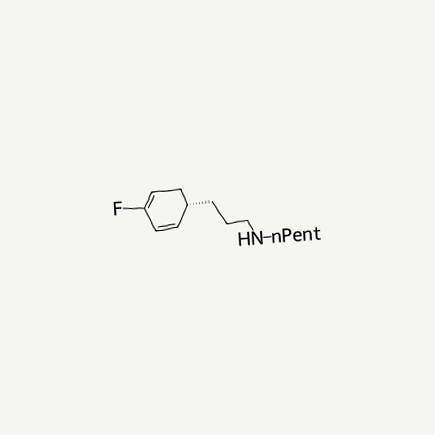 CCCCCNCCC[C@@H]1C=CC(F)=CC1